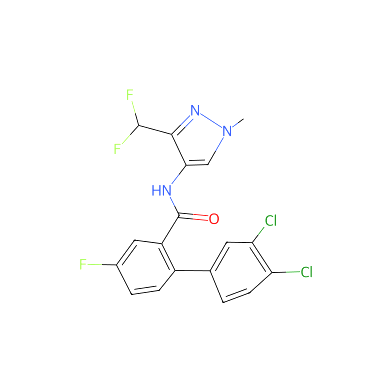 Cn1cc(NC(=O)c2cc(F)ccc2-c2ccc(Cl)c(Cl)c2)c(C(F)F)n1